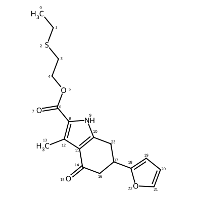 CCSCCOC(=O)c1[nH]c2c(c1C)C(=O)CC(c1ccco1)C2